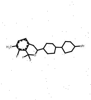 CCCC1CCC(C2CCC(C3Cc4ccc(C)c(F)c4C(F)(F)O3)CC2)CC1